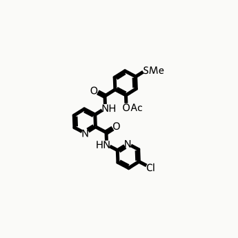 CSc1ccc(C(=O)Nc2cccnc2C(=O)Nc2ccc(Cl)cn2)c(OC(C)=O)c1